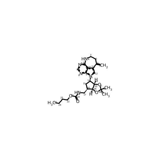 C=C1CCNc2ncnc3c2c1cn3[C@@H]1C[C@H](CNC(=O)OCCCC)[C@H]2OC(C)(C)O[C@H]21